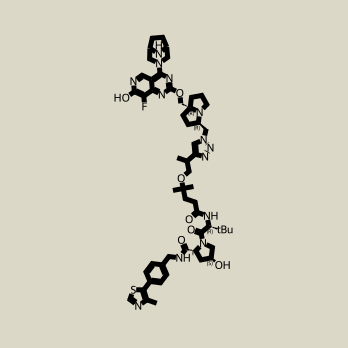 Cc1ncsc1-c1ccc(CNC(=O)[C@H]2C[C@H](O)CN2C(=O)[C@H](NC(=O)CCC(C)(C)OCC(C)c2cn(C[C@H]3CC[C@@]4(COc5nc(N6CC7CCC(C6)N7)c6cnc(O)c(F)c6n5)CCCN34)nn2)C(C)(C)C)cc1